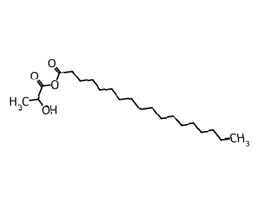 CCCCCCCCCCCCCCCCCC(=O)OC(=O)C(C)O